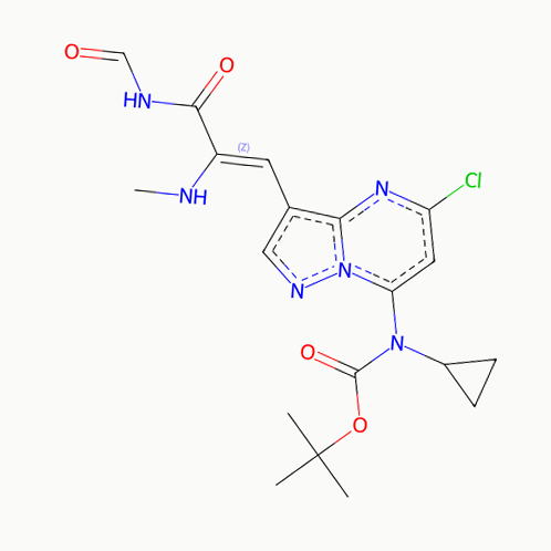 CN/C(=C\c1cnn2c(N(C(=O)OC(C)(C)C)C3CC3)cc(Cl)nc12)C(=O)NC=O